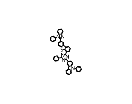 c1ccc(-c2nc(-c3ccc4c(c3)c3ccccc3n4-c3ccccc3)nc(-c3cccc4c3sc3ccc(-c5nc6ccccc6n5-c5ccccc5)cc34)n2)cc1